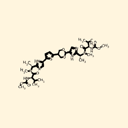 COC(=O)N[C@@H](C(=O)N(C)[C@H](C)c1ncc(-c2ccc(C3COC(c4cnc([C@@H](C)N(C)C(=O)[C@H](NC(=O)OC)C(C)C)[nH]4)OC3)s2)[nH]1)C(C)C